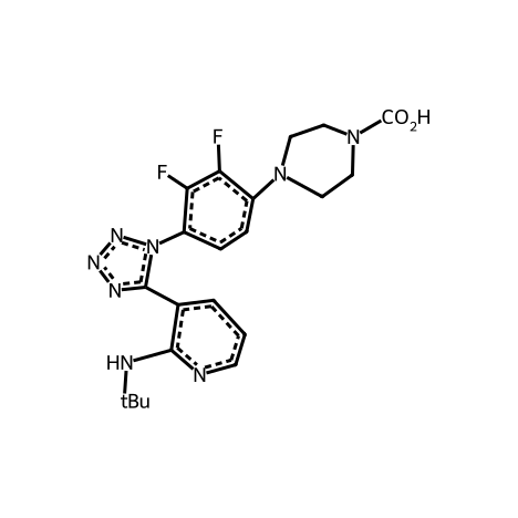 CC(C)(C)Nc1ncccc1-c1nnnn1-c1ccc(N2CCN(C(=O)O)CC2)c(F)c1F